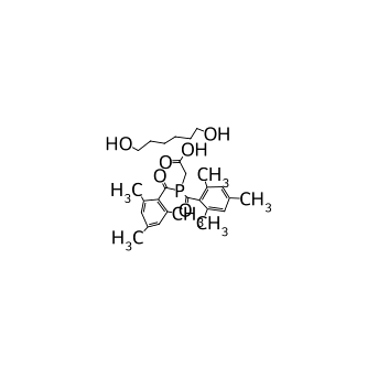 Cc1cc(C)c(C(=O)P(CC(=O)O)C(=O)c2c(C)cc(C)cc2C)c(C)c1.OCCCCCCO